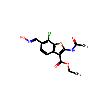 CCOC(=O)c1c(NC(C)=O)sc2c(Cl)c(/C=N/O)ccc12